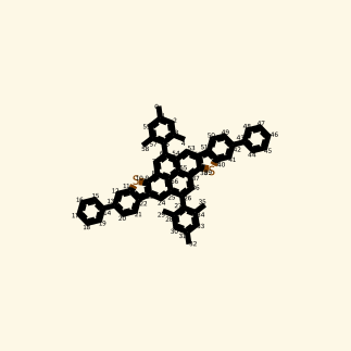 Cc1cc(C)c(-c2cc3c4sc5cc(-c6ccccc6)ccc5c4cc4c(-c5c(C)cc(C)cc5C)cc5c6sc7cc(-c8ccccc8)ccc7c6cc2c5c43)c(C)c1